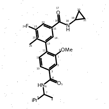 COc1cc(C(=O)NC(C)C(C)C)ccc1-c1cc(C(=O)NC2CC2)cc(F)c1C